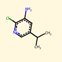 CC(C)c1cnc(Cl)c(N)c1